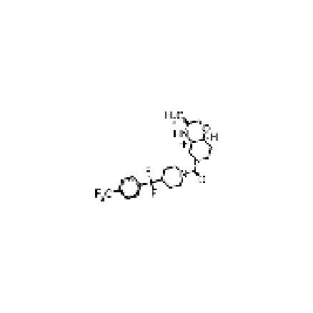 C=C1CO[C@H]2CCN(C(=O)N3CCC(C(F)(F)c4ccc(C(F)(F)F)cc4)CC3)C[C@H]2N1